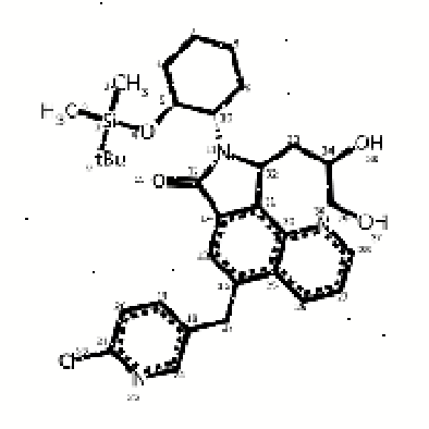 CC(C)(C)[Si](C)(C)O[C@H]1CCCC[C@@H]1N1C(=O)c2cc(Cc3ccc(Cl)nc3)c3cccnc3c2C1CC(O)CO